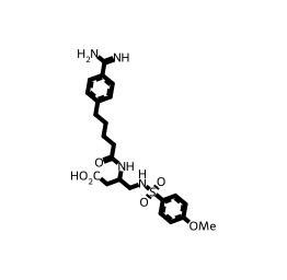 COc1ccc(S(=O)(=O)NCC(CC(=O)O)NC(=O)CCCCc2ccc(C(=N)N)cc2)cc1